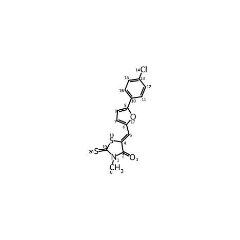 CN1C(=O)C(=Cc2ccc(-c3ccc(Cl)cc3)o2)SC1=S